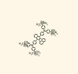 C[Si](C)(C)c1ccc(N(c2ccc(-c3c4c(c(-c5ccc(N(c6ccc([Si](C)(C)C)cc6)c6ccc([Si](C)(C)C)cc6)cc5)c5ccccc35)-c3cccc5cccc-4c35)cc2)c2ccc([Si](C)(C)C)cc2)cc1